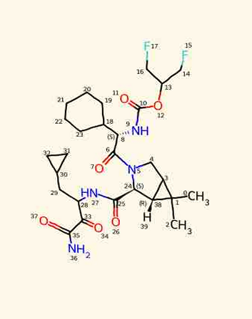 CC1(C)C2CN(C(=O)[C@@H](NC(=O)OC(CF)CF)C3CCCCC3)[C@H](C(=O)NC(CC3CC3)C(=O)C(N)=O)[C@H]21